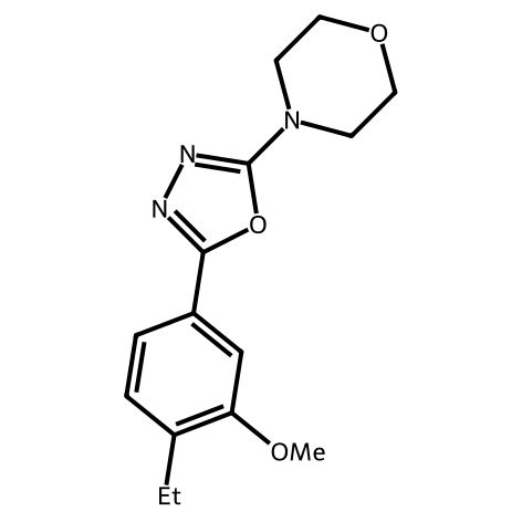 CCc1ccc(-c2nnc(N3CCOCC3)o2)cc1OC